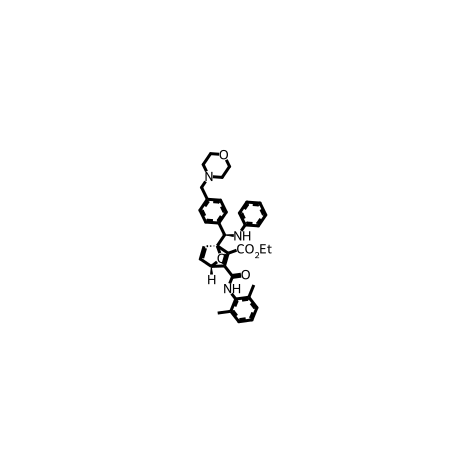 CCOC(=O)C1=C(C(=O)Nc2c(C)cccc2C)[C@@H]2C=C[C@@]1([C@H](Nc1ccccc1)c1ccc(CN3CCOCC3)cc1)O2